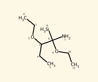 CCOC(CC)C(N)([SiH3])OCC